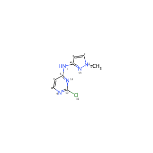 Cn1ccc(Nc2ccnc(Cl)n2)n1